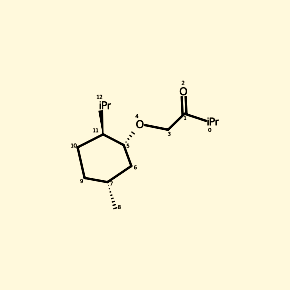 CC(C)C(=O)CO[C@@H]1C[C@H](C)CC[C@H]1C(C)C